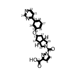 O=C(O)c1ccn(C(=O)N2C[C@H]3CC(Oc4cccc(-c5ccncn5)c4)C[C@@H]3C2)n1